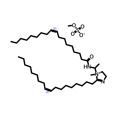 CCCCCCCC/C=C\CCCCCCCCC1=NCC[N+]1(C)C(C)NC(=O)CCCCCCC/C=C\CCCCCCCC.COS(=O)(=O)[O-]